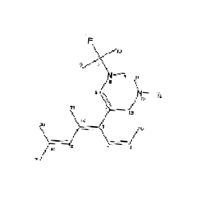 C\C=C/C(C(=C/N(C)C(C)(C)F)/CN(C)C)=C(/C)C=C(C)C